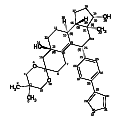 CC1(C)COC2(CCC3=C4[C@@H](CC[C@@]3(O)C2)[C@@H]2CC[C@H](O)[C@@]2(C)C[C@@H]4c2ccc(-c3ccsc3)cc2)OC1